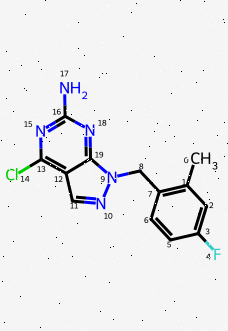 Cc1cc(F)ccc1Cn1ncc2c(Cl)nc(N)nc21